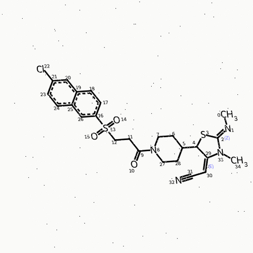 C/N=C1\SC(C2CCN(C(=O)CCS(=O)(=O)c3ccc4cc(Cl)ccc4c3)CC2)/C(=C\C#N)N1C